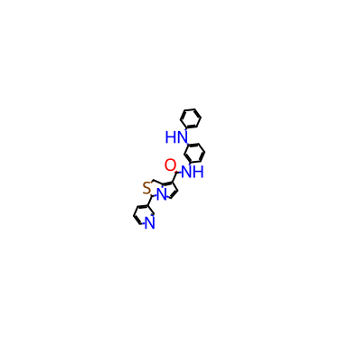 O=C(Nc1cccc(Nc2ccccc2)c1)c1ccn2c1CSC2c1cccnc1